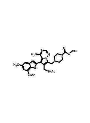 COc1cc(C)cc2cc(-c3c(CNC(C)=O)c(CN4CCN(C(=O)OC(C)(C)C)CC4)n4ncnc(N)c34)sc12